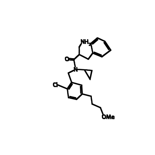 COCCCc1ccc(Cl)c(CN(C(=O)C(CN)Cc2ccccc2)C2CC2)c1